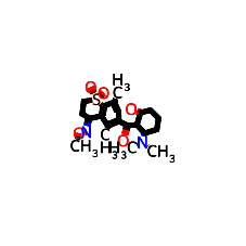 CON=C1CCS(=O)(=O)c2c(C)cc(C(=O)C3C(=O)CCCC3N(C)C)c(C)c21